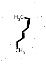 C/[C]=C\C=C\CC